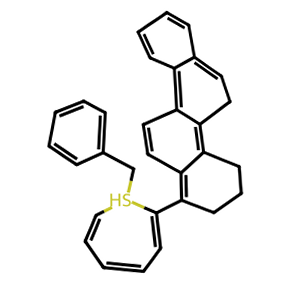 C1=CC=C(C2=c3ccc4c(c3CCC2)CC=c2ccccc2=4)[SH](Cc2ccccc2)C=C1